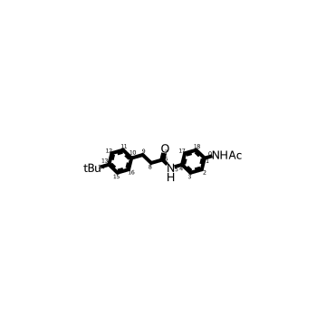 CC(=O)Nc1ccc(NC(=O)CCc2ccc(C(C)(C)C)cc2)cc1